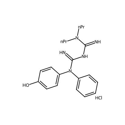 CCCN(CCC)C(=N)NC(=N)N(c1ccccc1)c1ccc(O)cc1.Cl